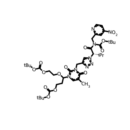 Cc1cn(C(CCOC(=O)OC(C)(C)C)OCCOC(=O)OC(C)(C)C)c(=O)n(Cc2cn([C@H](C(=O)N(Cc3cc([N+](=O)[O-])ccn3)C(=O)OC(C)(C)C)C(C)C)nn2)c1=O